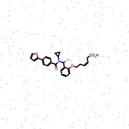 BC(c1ccccc1OCC/C=C\CC(=O)O)N(C(=O)c1ccc(-c2ccco2)cc1)C1CC1